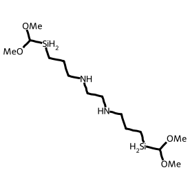 COC(OC)[SiH2]CCCNCCNCCC[SiH2]C(OC)OC